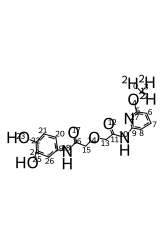 [2H]C([2H])([2H])Oc1cccc(NC(=O)COCC(=O)Nc2ccc(O)c(O)c2)n1